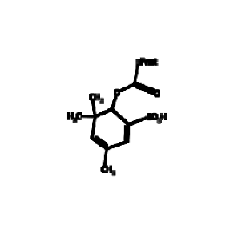 CCCCCC(=O)OC1C(S(=O)(=O)O)=CC(C)=CC1(C)C